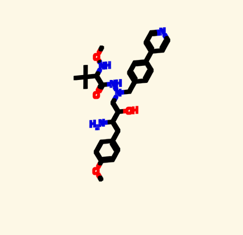 CONC(C(=O)NN(Cc1ccc(-c2ccncc2)cc1)CC(O)C(N)CC1=CC=C(OC)CC1)C(C)(C)C